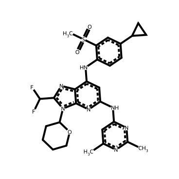 Cc1cc(Nc2cc(Nc3ccc(C4CC4)cc3S(C)(=O)=O)c3nc(C(F)F)n(C4CCCCO4)c3n2)nc(C)n1